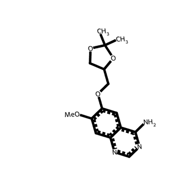 COc1cc2ncnc(N)c2cc1OCC1COC(C)(C)O1